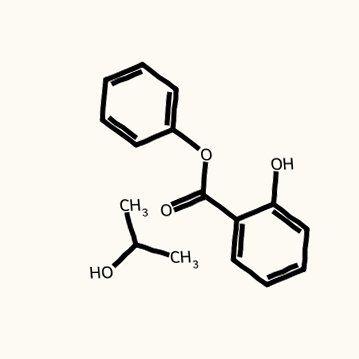 CC(C)O.O=C(Oc1ccccc1)c1ccccc1O